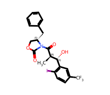 C[C@@H](C(=O)N1C(=O)OC[C@@H]1Cc1ccccc1)[C@H](O)c1cc(C(F)(F)F)ccc1I